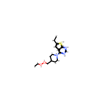 CCOOCC1CCN(c2ncnc3sc(CC)cc23)CC1